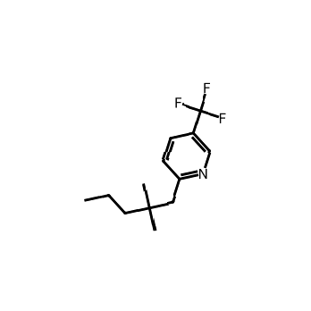 CCCC(C)(C)Cc1ccc(C(F)(F)F)cn1